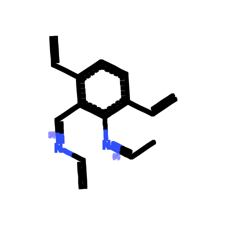 C=C/N=C\c1c(C=C)ccc(C=C)c1/N=C\C